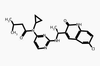 CC(C)CC(=O)N(c1ccnc(N[C@@H](C)c2cc3cc(Cl)ccc3[nH]c2=O)n1)C1CC1